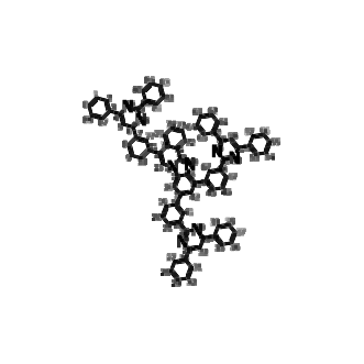 c1ccc(-c2cc(-c3cccc(-c4cn5c6cc(-c7cccc(-c8nc(-c9ccccc9)cc(-c9ccccc9)n8)c7)cc(-c7cccc(-c8nc(-c9ccccc9)cc(-c9ccccc9)n8)c7)c6nc5c5ccccc45)c3)nc(-c3ccccc3)n2)cc1